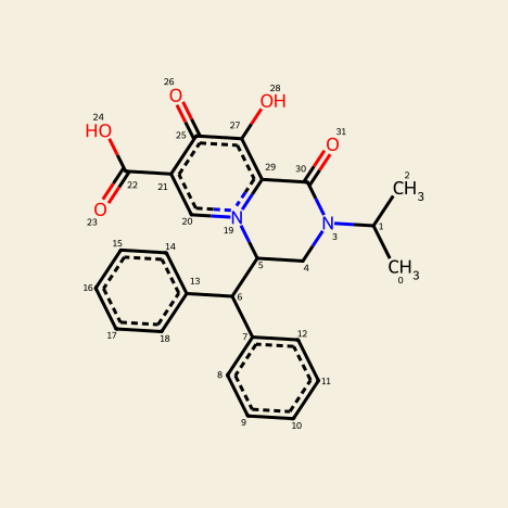 CC(C)N1CC(C(c2ccccc2)c2ccccc2)n2cc(C(=O)O)c(=O)c(O)c2C1=O